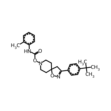 Cc1ccccc1NC(=O)ON1CCC2(CC1)CC(c1ccc(C(C)(C)C)cc1)=NO2